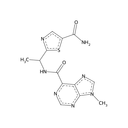 CC(NC(=O)c1ncnc2c1ncn2C)c1ncc(C(N)=O)s1